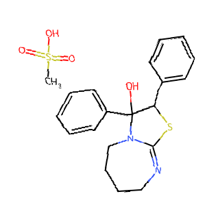 CS(=O)(=O)O.OC1(c2ccccc2)C(c2ccccc2)SC2=NCCCCN21